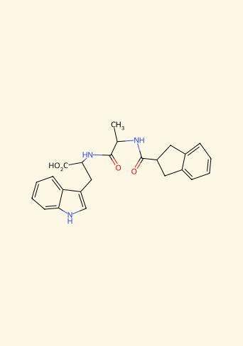 CC(NC(=O)C1Cc2ccccc2C1)C(=O)NC(Cc1c[nH]c2ccccc12)C(=O)O